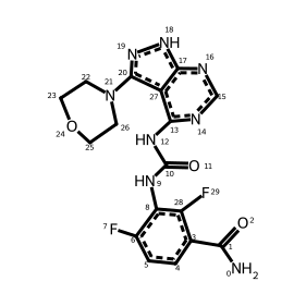 NC(=O)c1ccc(F)c(NC(=O)Nc2ncnc3[nH]nc(N4CCOCC4)c23)c1F